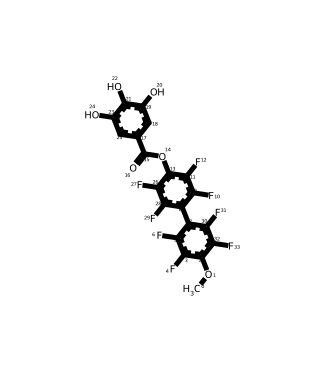 COc1c(F)c(F)c(-c2c(F)c(F)c(OC(=O)c3cc(O)c(O)c(O)c3)c(F)c2F)c(F)c1F